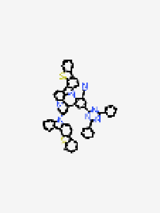 N#Cc1cc(-c2nc(-c3ccccc3)nc(-c3ccccc3)n2)cc(-c2cncc(-n3c4ccccc4c4c5sc6ccccc6c5ccc43)c2)c1-n1c2ccccc2c2c3sc4ccccc4c3ccc21